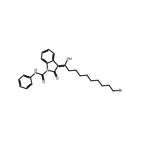 O=C(Nc1ccccc1)N1C(=O)C(=C(O)CCCCCCCCCBr)c2ccccc21